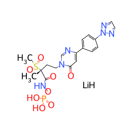 C[C@@](CCn1cnc(-c2ccc(-n3nccn3)cc2)cc1=O)(C(=O)NOP(=O)(O)O)S(C)(=O)=O.[LiH]